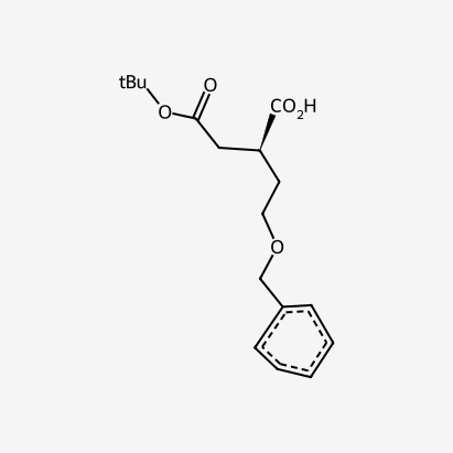 CC(C)(C)OC(=O)C[C@H](CCOCc1ccccc1)C(=O)O